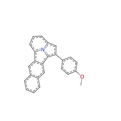 COc1ccc(-c2cc3cccc4c5cc6ccccc6cc5c2n34)cc1